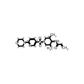 C=CC(=O)NC1C(C)CN(S(=O)(=O)c2ccc(N3CCOCC3)nc2)CC1C